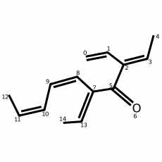 C=C/C(=C\C)C(=O)C(/C=C\C=C/C)=C/C